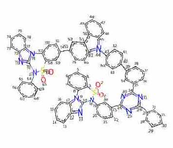 O=S1(=O)c2ccccc2-n2c(nc3ccccc32)N1c1cccc(-c2nc(-c3ccccc3)nc(-c3cccc(-c4ccc(-n5c6ccccc6c6cc(-c7ccc8c(c7)S(=O)(=O)N(c7ccccc7)c7nc9ccccc9n7-8)ccc65)cc4)c3)n2)c1